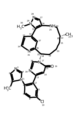 Cc1cncn1-c1ccc(Cl)cc1-c1cc(=O)n([C@H]2CCC[C@@H](C)CNc3cnn(C)c3-c3ccnc2c3)cn1